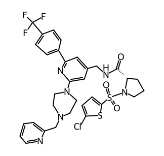 O=C(NCc1cc(-c2ccc(C(F)(F)F)cc2)nc(N2CCN(Cc3ccccn3)CC2)c1)[C@@H]1CCCN1S(=O)(=O)c1ccc(Cl)s1